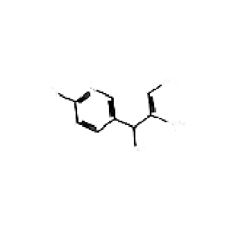 CCCC(C(=C[N+](=O)[O-])NC)c1ccc(Cl)nc1